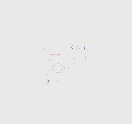 CC1(C)CC(NS(=O)(=O)c2cc(CC(=O)O)cc(CC(=O)O)c2)CC(C)(C)N1